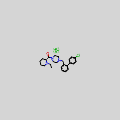 CCN1CCCC[C@H]1C(=O)N1CCN(Cc2ccccc2-c2ccc(Cl)cc2)CC1.Cl.Cl